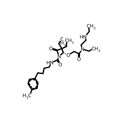 CCNCCN(CC)C(=O)CO[C@@H]1N(C(=O)NCCCCc2ccc(C)cc2)C(=O)C1(CC)CC